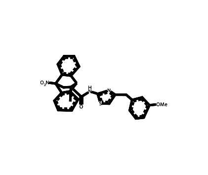 COc1cccc(Cc2csc(NC(=O)C3(C)CC4([N+](=O)[O-])c5ccccc5C3c3ccccc34)n2)c1